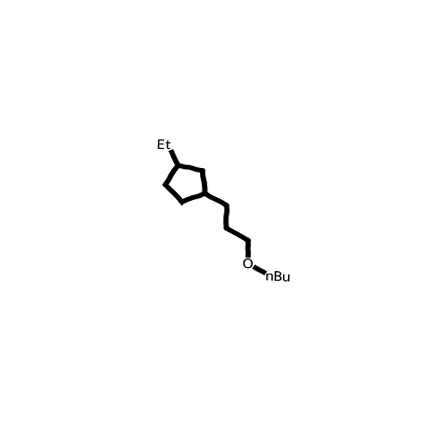 [CH2]CC1C[CH]C(CCCOCCCC)C1